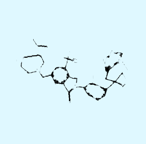 CC(C)[C@@H]1CN(Cc2cc3c(c(C(F)(F)F)c2)CN(c2cccc(C4([C@H](F)c5nncn5C)COC4)c2)C3=O)CCN1